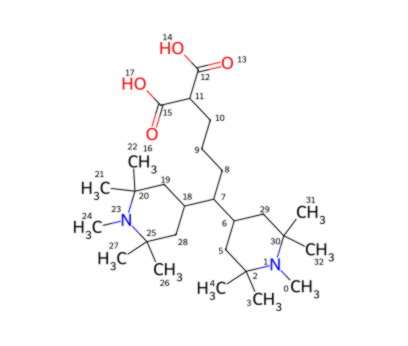 CN1C(C)(C)CC(C(CCCC(C(=O)O)C(=O)O)C2CC(C)(C)N(C)C(C)(C)C2)CC1(C)C